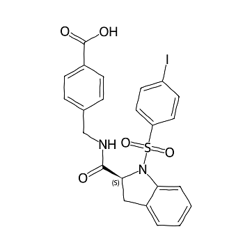 O=C(O)c1ccc(CNC(=O)[C@@H]2Cc3ccccc3N2S(=O)(=O)c2ccc(I)cc2)cc1